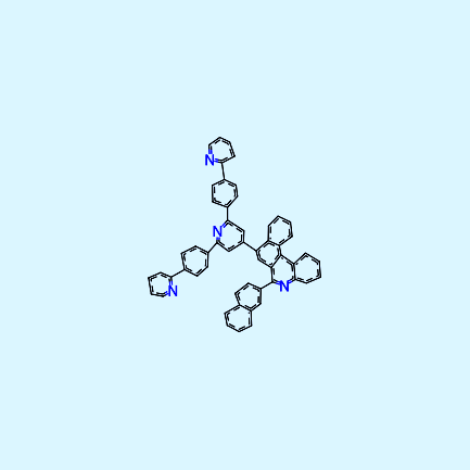 c1ccc(-c2ccc(-c3cc(-c4cc5c(-c6ccc7ccccc7c6)nc6ccccc6c5c5ccccc45)cc(-c4ccc(-c5ccccn5)cc4)n3)cc2)nc1